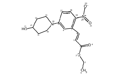 CCOC(=O)C=Cc1cc(N2CCC(O)CC2)ccc1[N+](=O)[O-]